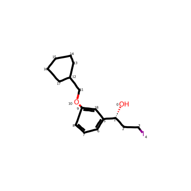 O[C@H](CCI)c1cccc(OCC2CCCCC2)c1